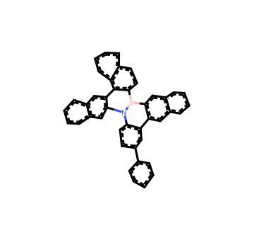 c1ccc(-c2ccc3c(c2)-c2cc4ccccc4cc2B2c4ccc5ccccc5c4-c4cc5ccccc5cc4N23)cc1